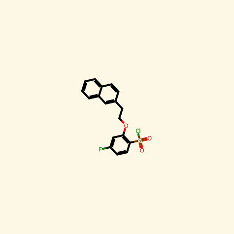 O=S(=O)(Cl)c1ccc(F)cc1OCCc1ccc2ccccc2c1